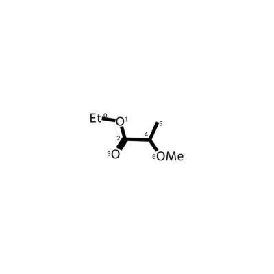 CCOC(=O)C(C)OC